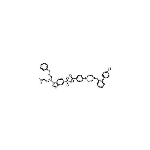 CN(C)CC[C@H](CCSc1ccccc1)n1nnc2cc(S(=O)(=O)NC(=O)c3ccc(N4CCN(Cc5ccccc5-c5ccc(Cl)cc5)CC4)cc3)ccc21